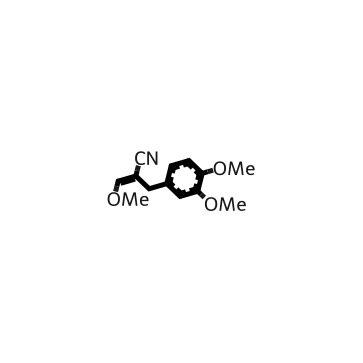 CO/C=C(/C#N)Cc1ccc(OC)c(OC)c1